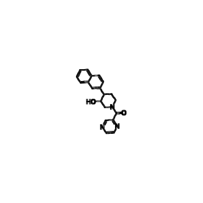 O=C(c1cnccn1)N1CCC(c2ccc3ccccc3c2)C(O)C1